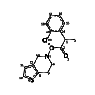 CC(C(=O)ON1CCc2sccc2C1)c1ccccc1Cl